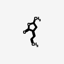 C=C/C=C1/CC(C)OC1=O